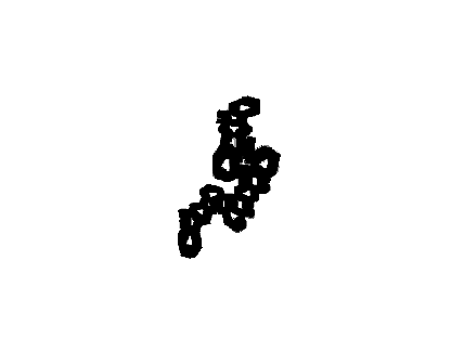 c1cc2c3c(c1)-n1c4cc5c(cc4c4cccc(c41)B3c1cc3c(cc1S2)Sc1cccc2c1B3c1cccc3c4cc6sc7ccccc7c6cc4n-2c13)sc1ccccc15